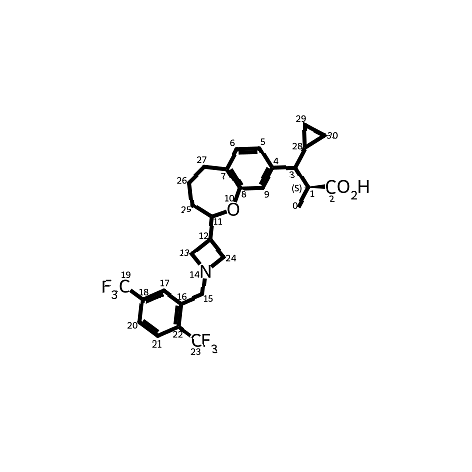 C[C@H](C(=O)O)C(c1ccc2c(c1)OC(C1CN(Cc3cc(C(F)(F)F)ccc3C(F)(F)F)C1)CCC2)C1CC1